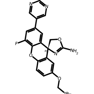 CC(C)(C)COc1ccc2c(c1)[C@]1(COC(N)=N1)c1cc(-c3cncnc3)cc(F)c1O2